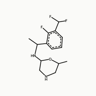 CC1CNCC(NC(C)c2cccc(C(F)F)c2F)O1